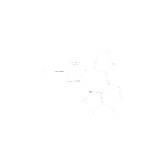 COc1cccc(-c2c[nH]c3ncnc(N4CCCC4)c23)c1